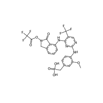 COc1cc(CP(=O)(O)O)ccc1Nc1ncc(C(F)(F)F)c(Nc2cccc3c2C(=O)N(OC(=O)C(F)(F)F)C3)n1